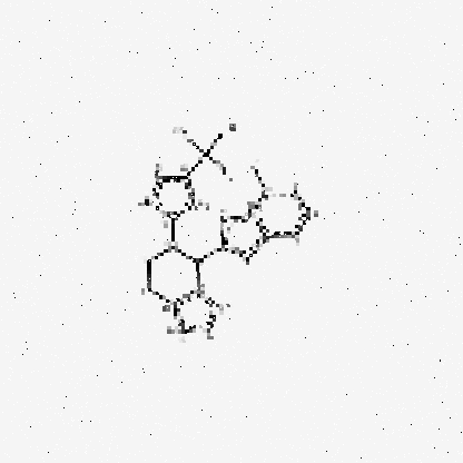 Cc1cccc2cc(C3c4nc[nH]c4CCN3c3nnc(C(F)(F)F)o3)nn12